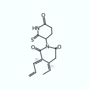 C=C/C=C1/C(=O)N(C2CCC(=O)NC2=S)C(=O)C/C1=C/C